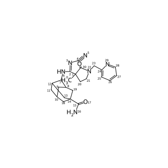 CC1(/C(=N\C#N)NC2C3CC4CC2CC(C(N)=O)(C4)C3)CCN(Cc2ccccn2)C1=O